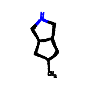 CC1CC2CNCC2C1